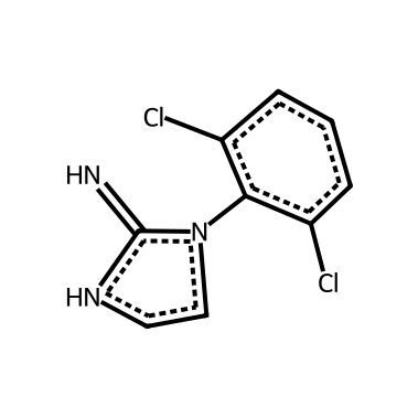 N=c1[nH]ccn1-c1c(Cl)cccc1Cl